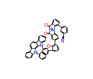 N#Cc1cccc(-c2cccc3c(=O)n4c(=O)c5cc(-c6cccc7c6oc6c(-n8c9ccccc9c9ccc%10c%11ccccc%11n(-c%11ccccc%11)c%10c98)cccc67)ccc5n4c23)c1